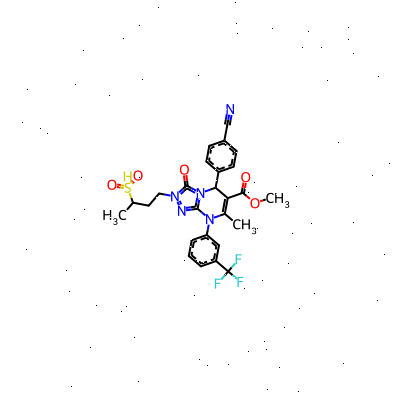 COC(=O)C1=C(C)N(c2cccc(C(F)(F)F)c2)c2nn(CCC(C)[SH](=O)=O)c(=O)n2C1c1ccc(C#N)cc1